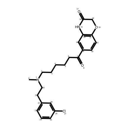 CN(CCCCCC(=O)c1ccc2c(c1)NC(=O)CO2)CCc1cccc(Cl)c1